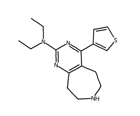 CCN(CC)c1nc2c(c(-c3ccsc3)n1)CCNCC2